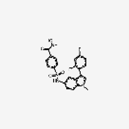 Cn1cc(-c2ccc(F)cc2F)c2cc(NS(=O)(=O)c3ccc(C(=O)NO)cc3)ccc21